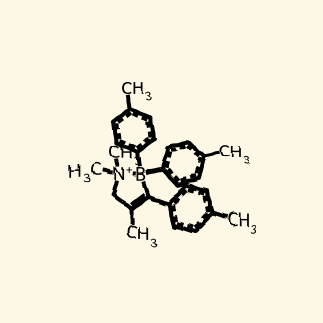 CC1=C(c2ccc(C)cc2)[B-](c2ccc(C)cc2)(c2ccc(C)cc2)[N+](C)(C)C1